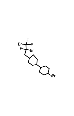 CCCC1CCC(C2CCC(CC(F)(Br)C(F)(F)Br)CC2)CC1